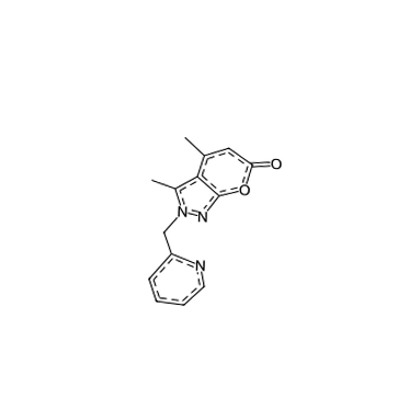 Cc1cc(=O)oc2nn(Cc3ccccn3)c(C)c12